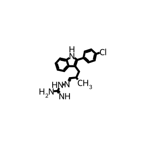 CC(C=NNC(=N)N)Cc1c(-c2ccc(Cl)cc2)[nH]c2ccccc12